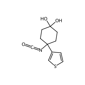 O=C=NC1(c2ccsc2)CCC(O)(O)CC1